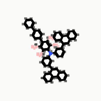 Bc1c(B)c(N(c2cccc(-c3cc4ccccc4c4ccccc34)c2)c2cccc(-c3cc4ccccc4c4ccccc34)c2)c(B)c(B)c1-c1ccc(-c2ccccc2)cc1